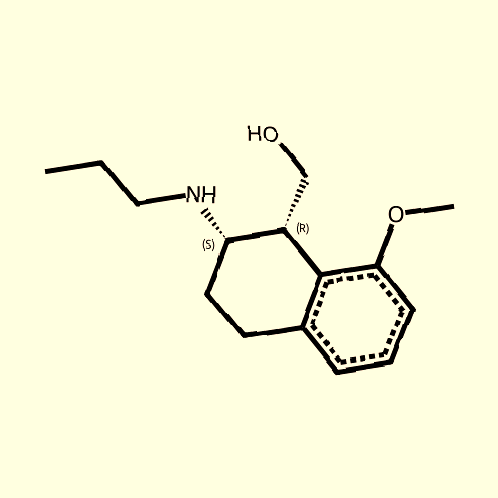 CCCN[C@H]1CCc2cccc(OC)c2[C@H]1CO